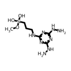 CO[Si](O)(O)CCCNc1nc(NN)nc(NN)n1